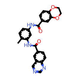 Cc1ccc(NC(=O)c2ccc3c(c2)OCCO3)cc1NC(=O)c1ccc2ncncc2c1